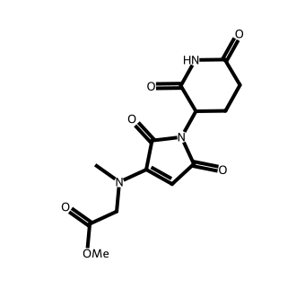 COC(=O)CN(C)C1=CC(=O)N(C2CCC(=O)NC2=O)C1=O